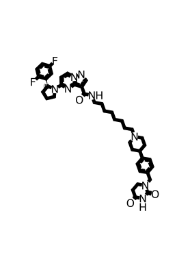 O=C1CCN(Cc2ccc(C3CCN(CCCCCCCCNC(=O)c4cnn5ccc(N6CCC[C@@H]6c6cc(F)ccc6F)nc45)CC3)cc2)C(=O)N1